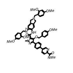 CNC(=O)c1ccc(-c2ccc(-c3nn(C)c(C(=O)Nc4cc5c(cc4NCc4ccc(OC)cc4OC)CN(Cc4ccc(OC)cc4OC)C5)c3OCc3ccc(OC)cc3)cc2)cn1